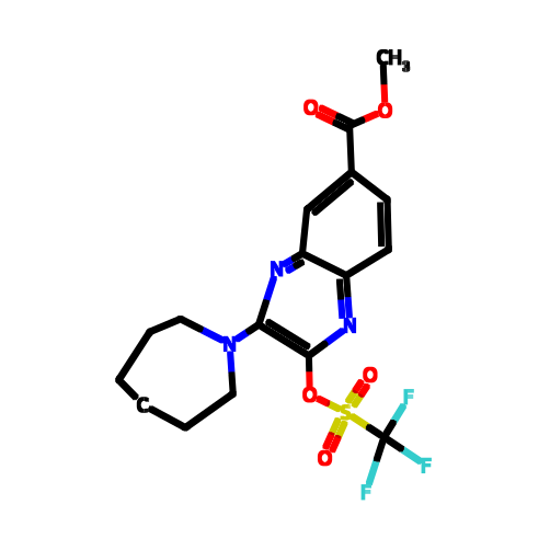 COC(=O)c1ccc2nc(OS(=O)(=O)C(F)(F)F)c(N3CCCCCC3)nc2c1